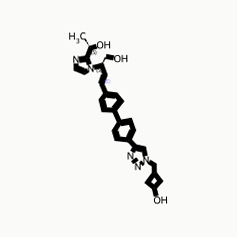 C[C@H](O)c1nccn1[C@@H](/C=C/c1ccc(-c2ccc(-c3cn(CC4CC(O)C4)nn3)cc2)cc1)CO